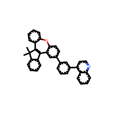 CC1(C)C2=C(c3cc(-c4cccc(-c5ccnc6ccccc56)c4)ccc3Oc3ccccc32)c2ccccc21